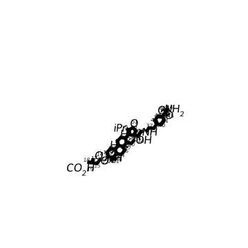 CC(C)C1=C2[C@H]3CC[C@@H]4[C@@]5(C)CC[C@H](OC(=O)CC(C)(C)C(=O)O)C(C)(C)[C@@H]5CC[C@@]4(C)[C@]3(C)CC[C@@]2([C@H](O)CNCCc2ccc(S(N)(=O)=O)cc2)CC1=O